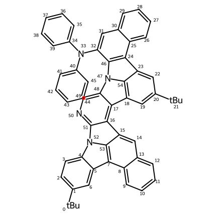 CC(C)(C)c1ccc2c(c1)c1c3ccccc3cc3c4c5c6cc(C(C)(C)C)cc7c8c9ccccc9cc(N(c9ccccc9)c9ccccc9)c8n(c5cnc4n2c31)c67